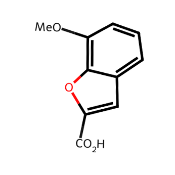 COc1cccc2cc(C(=O)O)oc12